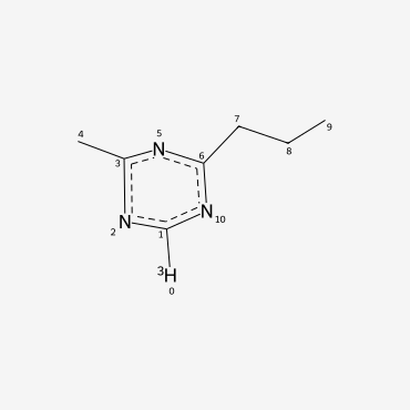 [3H]c1nc(C)nc(CCC)n1